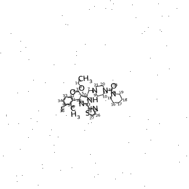 CCOC(=O)C1=C(CN2CCN(C(=O)N3CCCCC3)CC2)NC(c2nccs2)=NC1c1cccc(F)c1C